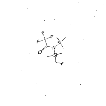 C[Si](C)(C)N(C(=O)C(F)(F)F)[Si](C)(C)CF